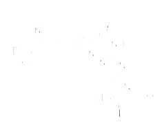 Cc1nc([C@@H](C)Nc2nccc(N3C(=O)OCC3[C@@H](C)O)n2)sc1-c1ccnc(C(C)(C)C(F)(F)F)c1